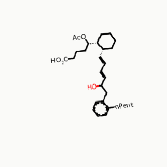 CCCCCc1ccccc1CC(O)/C=C/C=C/[C@H]1CCCC[C@H]1C(CCCC(=O)O)OC(C)=O